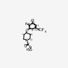 CC(C)(C)OC(=O)N1CCC(Oc2cc(C(F)(F)F)cc(Cl)c2F)CC1